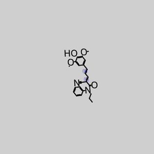 CCCN(C(=O)/C(C#N)=C/C=C/c1cc(OC)c(O)c(OC)c1)c1ccccc1